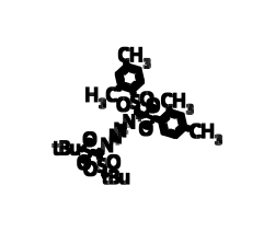 CC(C)(C)S(=O)(=O)C(=[N+]=[N-])S(=O)(=O)C(C)(C)C.Cc1ccc(S(=O)(=O)C(=[N+]=[N-])S(=O)(=O)c2ccc(C)cc2C)c(C)c1